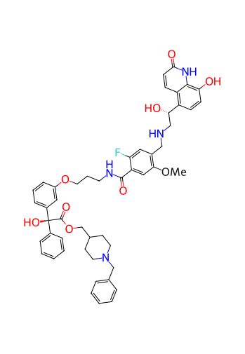 COc1cc(C(=O)NCCCOc2cccc([C@](O)(C(=O)OCC3CCN(Cc4ccccc4)CC3)c3ccccc3)c2)c(F)cc1CNC[C@H](O)c1ccc(O)c2[nH]c(=O)ccc12